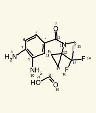 CN(C(=O)c1ccc(N)c(N)c1)C1(C(F)(F)F)CC1.O=CO